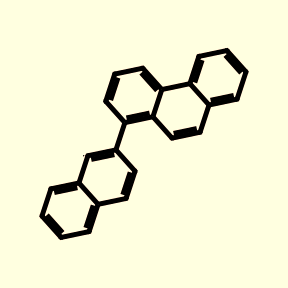 [c]1c(-c2cccc3c2ccc2ccccc23)ccc2ccccc12